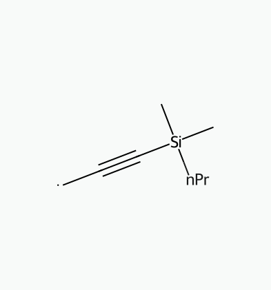 [CH2]C#C[Si](C)(C)CCC